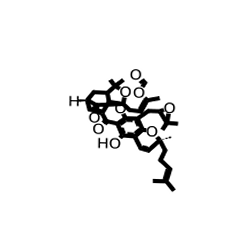 CC(C)=CCC[C@@]1(C)C=Cc2c(O)c3c(c(CC4OC4(C)C)c2O1)O[C@]12C(=C[C@@H]4CC1C(C)(C)OC2(C/C=C(/C)OC=O)C4=O)C3=O